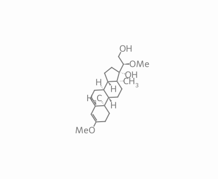 COC1=CC2=CC[C@@H]3[C@H](CC[C@@]4(C)[C@H]3CC[C@@]4(O)[C@@H](CO)OC)[C@@]2(C)CC1